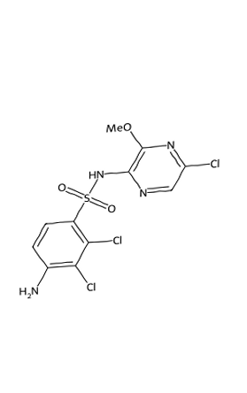 COc1nc(Cl)cnc1NS(=O)(=O)c1ccc(N)c(Cl)c1Cl